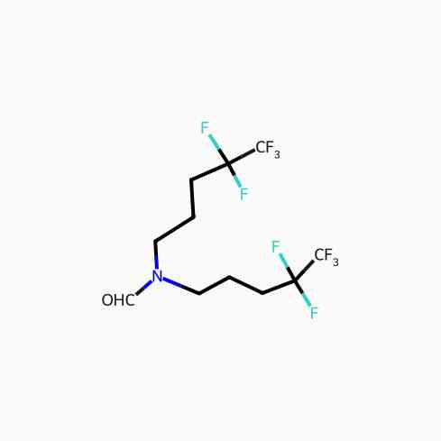 O=CN(CCCC(F)(F)C(F)(F)F)CCCC(F)(F)C(F)(F)F